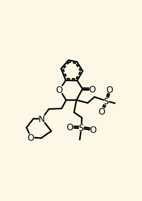 CS(=O)(=O)CCC1(CCS(C)(=O)=O)C(=O)c2ccccc2OC1CCN1CCOCC1